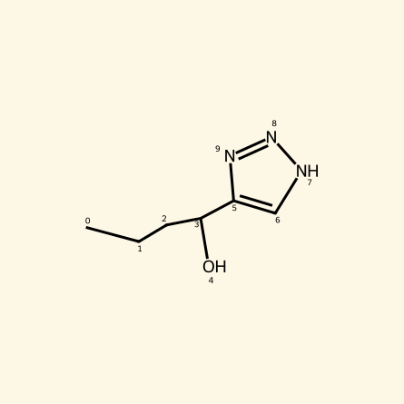 CCCC(O)c1c[nH]nn1